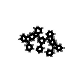 c1ccc(-c2nc(-n3c4ccccc4c4cc5c6ccccc6n(-c6ccccc6)c5cc43)cc(-n3c4ccccc4c4cc5c6ccccc6n(-c6ccccc6)c5cc43)n2)cc1